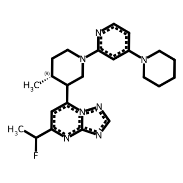 CC(F)c1cc(C2CN(c3cc(N4CCCCC4)ccn3)CC[C@H]2C)n2ncnc2n1